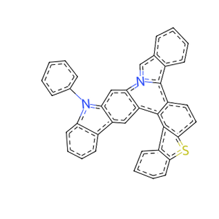 c1ccc(-n2c3ccccc3c3cc4c5c(ccc6sc7ccccc7c65)c5c6ccccc6cn5c4cc32)cc1